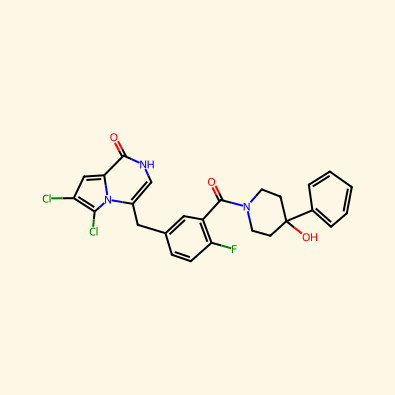 O=C(c1cc(Cc2c[nH]c(=O)c3cc(Cl)c(Cl)n23)ccc1F)N1CCC(O)(c2ccccc2)CC1